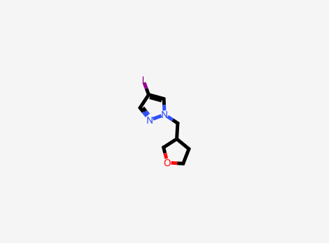 Ic1cnn(CC2CCOC2)c1